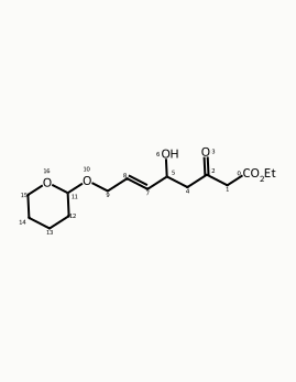 CCOC(=O)CC(=O)CC(O)C=CCOC1CCCCO1